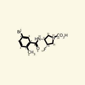 Cc1ccc(Br)cc1C(=O)N[C@@H]1CN(C(=O)O)C[C@@H]1F